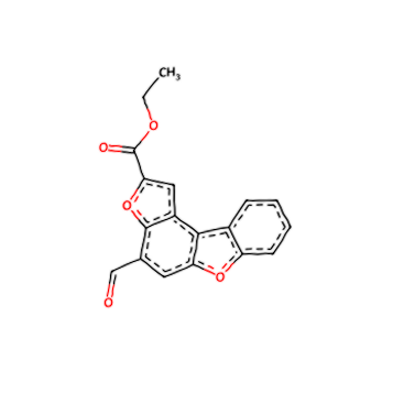 CCOC(=O)c1cc2c(o1)c(C=O)cc1oc3ccccc3c12